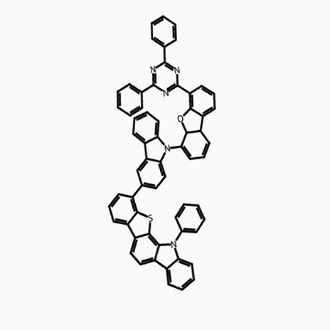 C1=CC2c3cccc(-c4nc(-c5ccccc5)nc(-c5ccccc5)n4)c3OC2C(n2c3ccccc3c3cc(-c4cccc5c4sc4c5ccc5c6ccccc6n(-c6ccccc6)c54)ccc32)=C1